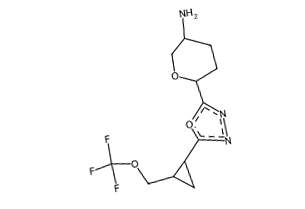 NC1CCC(c2nnc(C3CC3COC(F)(F)F)o2)OC1